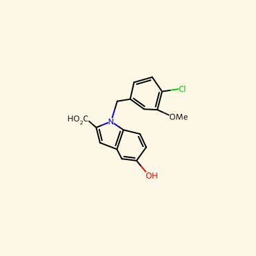 COc1cc(Cn2c(C(=O)O)cc3cc(O)ccc32)ccc1Cl